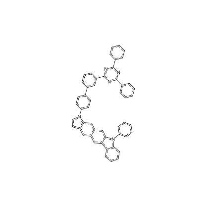 c1ccc(-c2nc(-c3ccccc3)nc(-c3cccc(-c4ccc(-n5ccc6cc7cc8c9ccccc9n(-c9ccccc9)c8cc7cc65)cc4)c3)n2)cc1